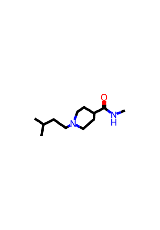 CNC(=O)C1CCN(CCC(C)C)CC1